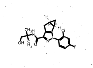 CC(C)(CO)NC(=O)c1nn(-c2ccc(F)cc2Cl)c2c1C[C@H]1C[C@@H]21